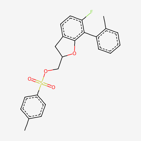 Cc1ccc(S(=O)(=O)OCC2Cc3ccc(F)c(-c4ccccc4C)c3O2)cc1